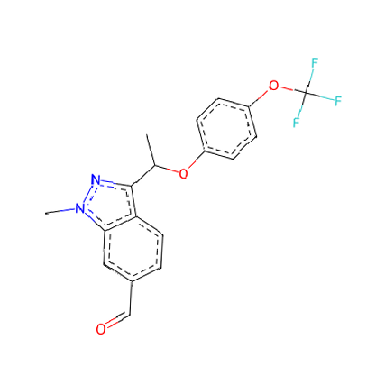 CC(Oc1ccc(OC(F)(F)F)cc1)c1nn(C)c2cc(C=O)ccc12